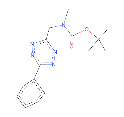 CN(Cc1nnc(-c2ccccc2)nn1)C(=O)OC(C)(C)C